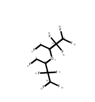 FCC(OC(CF)C(F)(F)C(F)F)C(F)(F)C(F)F